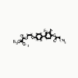 C=CC(=O)Oc1ccc(-c2ccc(O/C=C\OC(=O)C(=C)C)cc2)c(F)c1F